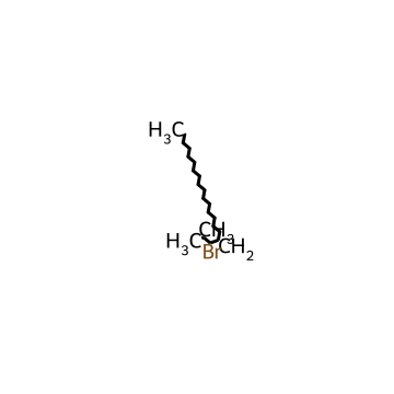 [CH2]C(CCCCCCCCCCCCCCCC)C(Br)C(C)C